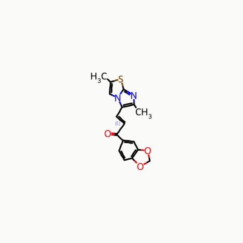 Cc1cn2c(/C=C/C(=O)c3ccc4c(c3)OCO4)c(C)nc2s1